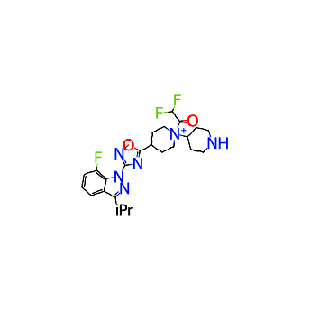 CC(C)c1nn(-c2noc(C3CC[N+](C(=O)C(F)F)(C4CCNCC4)CC3)n2)c2c(F)cccc12